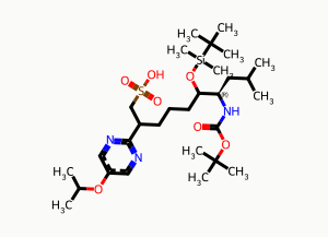 CC(C)C[C@@H](NC(=O)OC(C)(C)C)C(CCCC(CS(=O)(=O)O)c1ncc(OC(C)C)cn1)O[Si](C)(C)C(C)(C)C